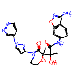 CC(O)(C(=O)Nc1ccc2c(N)noc2c1)C1(C)OCCN(c2ccn(-c3ccnnc3)n2)C1=O